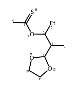 CCC(OC(C)=S)C(C)C1OCCO1